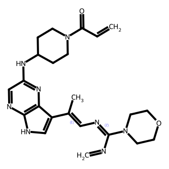 C=CC(=O)N1CCC(Nc2cnc3[nH]cc(/C(C)=C/N=C(\N=C)N4CCOCC4)c3n2)CC1